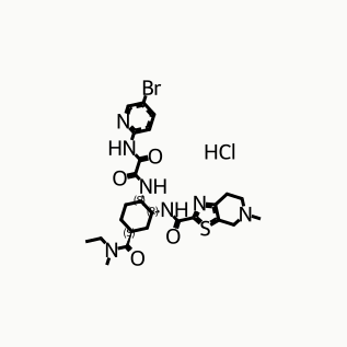 CCN(C)C(=O)[C@H]1CC[C@H](NC(=O)C(=O)Nc2ccc(Br)cn2)[C@H](NC(=O)c2nc3c(s2)CN(C)CC3)C1.Cl